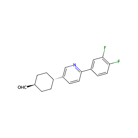 O=C[C@H]1CC[C@H](c2ccc(-c3ccc(F)c(F)c3)nc2)CC1